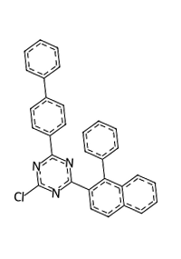 Clc1nc(-c2ccc(-c3ccccc3)cc2)nc(-c2ccc3ccccc3c2-c2ccccc2)n1